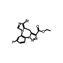 CCOC(=O)c1nnn2c1Cc1c(Br)ncn1-c1cc(F)ccc1-2